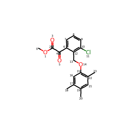 COC(=O)C(=O)c1cccc(Cl)c1COc1cc(C)c(C)cc1C